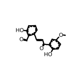 COc1ccc(O)c(C(=O)C=Cc2cccc(O)c2C=O)c1